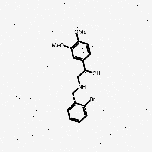 COc1ccc(C(O)CNCc2ccccc2Br)cc1OC